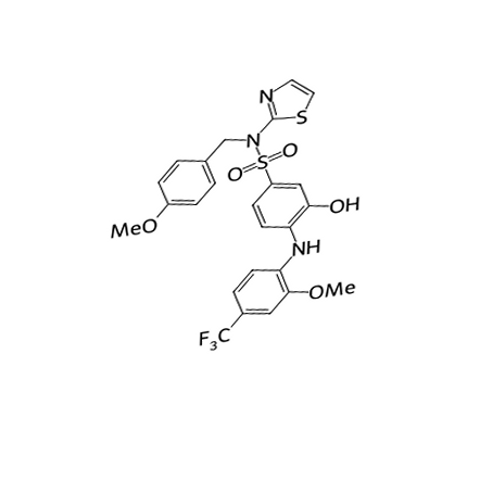 COc1ccc(CN(c2nccs2)S(=O)(=O)c2ccc(Nc3ccc(C(F)(F)F)cc3OC)c(O)c2)cc1